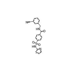 N#Cc1cccc(CNC(=O)c2ccc(S(=O)(=O)Nc3nccs3)cc2)c1